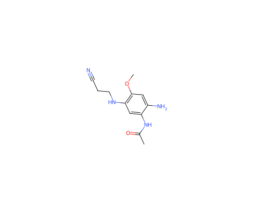 COc1cc(N)c(NC(C)=O)cc1NCCC#N